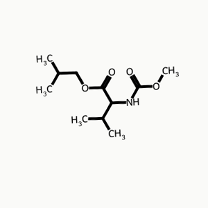 COC(=O)NC(C(=O)OCC(C)C)C(C)C